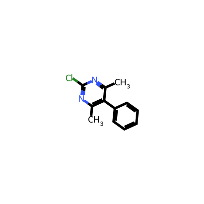 Cc1nc(Cl)nc(C)c1-c1ccccc1